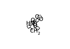 C=Cc1ccccc1C(NS(=O)(=O)c1ccc2c(c1)OCCCO2)c1cc2ccccc2o1